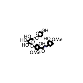 COc1ccc(/C=C/C(=O)c2c(O)cc(O[C@H]3O[C@@H](CO[C@H]4CC[C@@H](O)CO4)[C@H](O)[C@@H](O)[C@@H]3O)cc2OC)cc1O